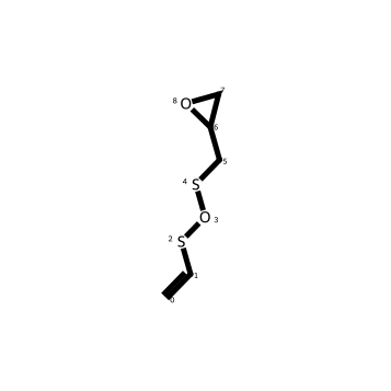 C=CSOSCC1CO1